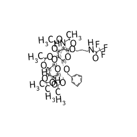 CC(=O)N[C@H]1[C@H](OCCCNC(=O)C(F)(F)F)O[C@H](COCc2ccccc2)[C@@H](O[C@@H]2O[C@H](COC(C)=O)[C@@H]3OC(C)(C)O[C@@H]3[C@H]2OC(C)=O)[C@@H]1OC(C)=O